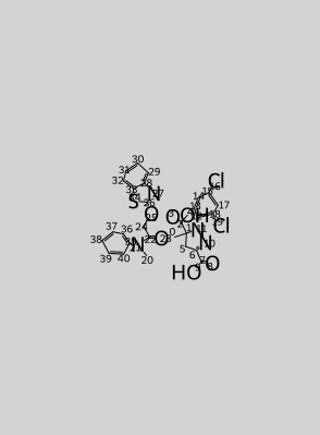 CC1(C(=O)O)CC(C(=O)O)=NN1c1ccc(Cl)cc1Cl.CN(C(=O)COc1nc2ccccc2s1)c1ccccc1